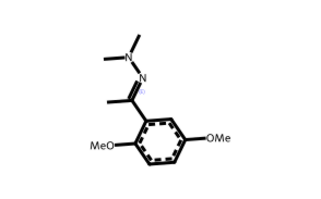 COc1ccc(OC)c(/C(C)=N/N(C)C)c1